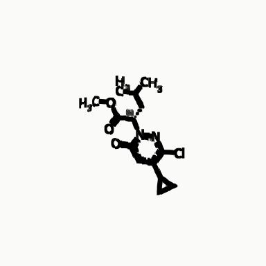 COC(=O)[C@H](CC(C)C)n1nc(Cl)c(C2CC2)cc1=O